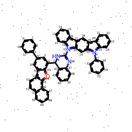 c1ccc(-c2cc(C3NC(n4c5ccccc5c5cc6c7ccccc7n(-c7ccccc7)c6cc54)=Nc4ccccc43)c3oc4c5ccccc5ccc4c3c2)cc1